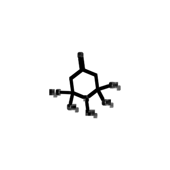 CC1(C)CC(=O)CC(C)(C)N1N